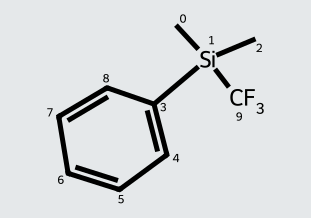 C[Si](C)(c1ccccc1)C(F)(F)F